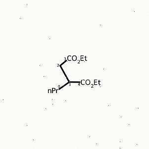 CCC[C](CC(=O)OCC)C(=O)OCC